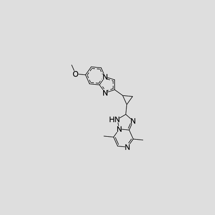 COc1ccn2cc(C3CC3C3N=C4C(C)=NC=C(C)N4N3)nc2c1